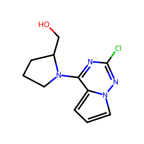 OCC1CCCN1c1nc(Cl)nn2cccc12